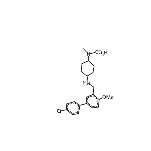 COc1ccc(-c2ccc(Cl)cc2)cc1CNC1CCC(N(C)C(=O)O)CC1